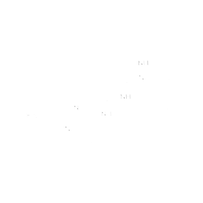 O=C(Nc1c(-c2ccccc2)nc2c(C(F)(F)F)cccn12)NC1C2C=CC=C2NN1c1ccccc1